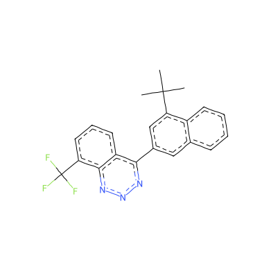 CC(C)(C)c1cc(-c2nnnc3c(C(F)(F)F)cccc23)cc2ccccc12